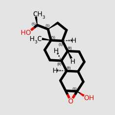 C[C@H](O)[C@H]1CC[C@H]2[C@@H]3CCC4C[C@]5(O)OC5C[C@H]4[C@H]3CC[C@]12C